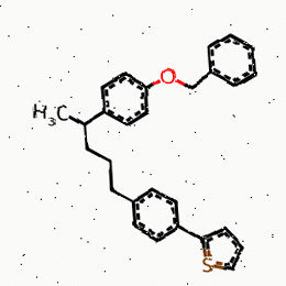 CC(CCCc1ccc(-c2cccs2)cc1)c1ccc(OCc2ccccc2)cc1